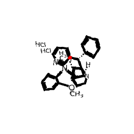 COc1ccccc1N(C)[C@@H]1C2CCN(CC2)[C@@H]1[C@@H](c1ccccc1)c1cccnc1.Cl.Cl